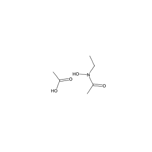 CC(=O)O.CCN(O)C(C)=O